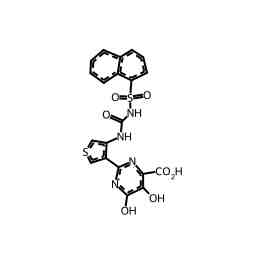 O=C(Nc1cscc1-c1nc(O)c(O)c(C(=O)O)n1)NS(=O)(=O)c1cccc2ccccc12